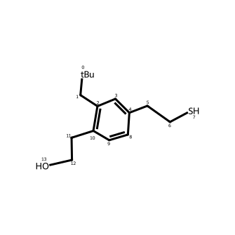 CC(C)(C)Cc1cc(CCS)ccc1CCO